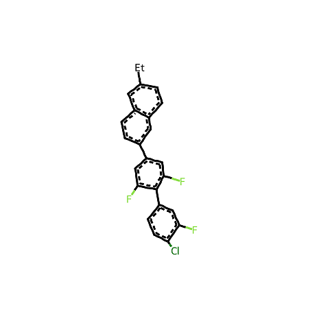 CCc1ccc2cc(-c3cc(F)c(-c4ccc(Cl)c(F)c4)c(F)c3)ccc2c1